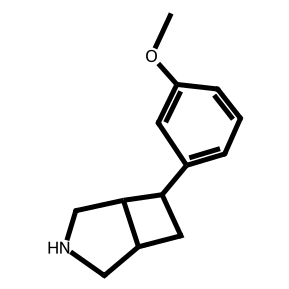 COc1cccc(C2CC3CNCC32)c1